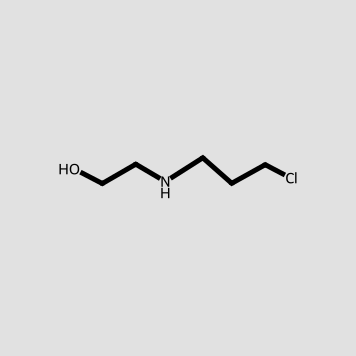 OCCNCCCCl